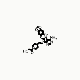 Nc1ncnc2c1nc(Sc1cc3c(cc1Br)OCO3)n2CCC1CCN(C(=O)CO)CC1